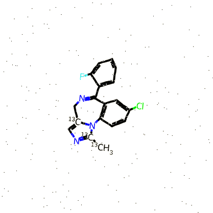 [13CH3][13c]1nc[13c]2n1-c1ccc(Cl)cc1C(c1ccccc1F)=NC2